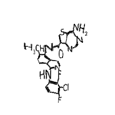 Cc1ccc2c(Nc3ccc(F)c(Cl)c3F)nccc2c1NC(=O)c1csc2c(N)ncnc12